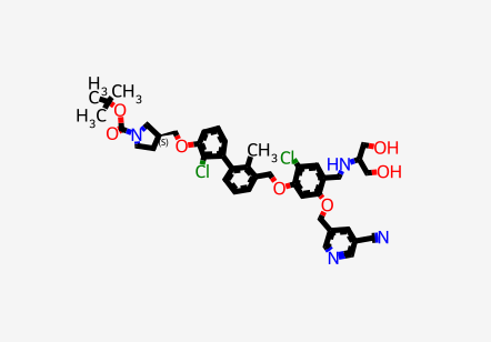 Cc1c(COc2cc(OCc3cncc(C#N)c3)c(CNC(CO)CO)cc2Cl)cccc1-c1cccc(OC[C@H]2CCN(C(=O)OC(C)(C)C)C2)c1Cl